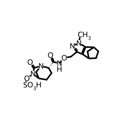 Cn1nc(CONC(=O)[C@@H]2CCC3CN2C(=O)N3OS(=O)(=O)O)c2c1C1CCC2C1